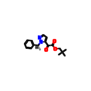 C[C@H](c1ccccc1)n1nccc1C(=O)C(=O)OCC(C)(C)C